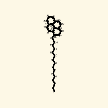 CCCCCCCCCCCCCCCCc1ccc2ccc3cccc4ccc1c2c34